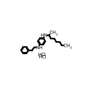 CCCCCCC(C)Nc1ccc(NCCc2ccccc2)cc1.Cl.Cl